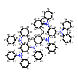 c1ccc(N(c2ccccc2)c2cc3c4c(c2)N(c2ccccc2)c2cc5c(cc2B4c2ccccc2N3c2ccccc2)B2c3c(cc(-n4c6ccccc6c6ccccc64)cc3-n3c4ccccc4c4cccc2c43)N5c2ccccc2)cc1